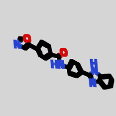 O=C(Nc1ccc(-c2nc3ccccc3[nH]2)cc1)c1ccc(-c2cnco2)cc1